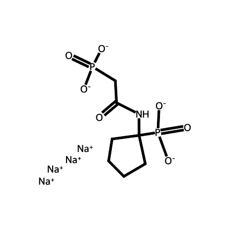 O=C(CP(=O)([O-])[O-])NC1(P(=O)([O-])[O-])CCCC1.[Na+].[Na+].[Na+].[Na+]